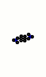 C1=CCC2C(=C1)C(c1c3ccccc3c(-c3cccc(N(c4ccccc4)c4ccccc4)c3)c3ccccc13)=c1ccccc1=C2c1cccc(N(c2ccccc2)c2ccccc2)c1